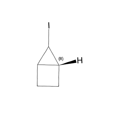 IC1C2CC[C@@H]12